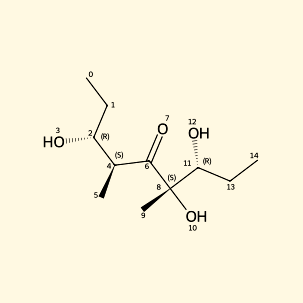 CC[C@@H](O)[C@H](C)C(=O)[C@@](C)(O)[C@H](O)CC